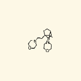 CC1(C)C2CCC1(CCN1CCOCC1)C(N1CCOCC1)C2